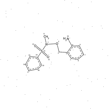 CN(OCc1ccccc1N)S(=O)(=O)c1ccccc1